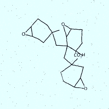 CC1(CC2(CC3(C)CCC4OC4C3)C3OC3CCC2(C)C(=O)O)CCC2OC2C1